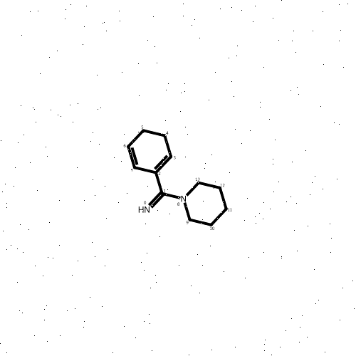 N=C(C1=CC[CH]C=C1)N1CCCCC1